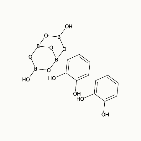 OB1OB2OB(O)OB(O1)O2.Oc1ccccc1O.Oc1ccccc1O